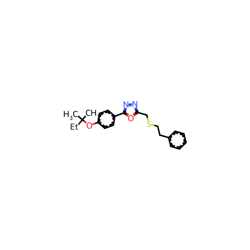 [CH2]CC(C)(C)Oc1ccc(-c2nnc(CSCCc3ccccc3)o2)cc1